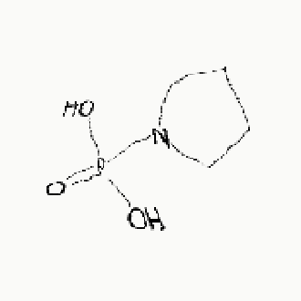 O=P(O)(O)N1CCCC1